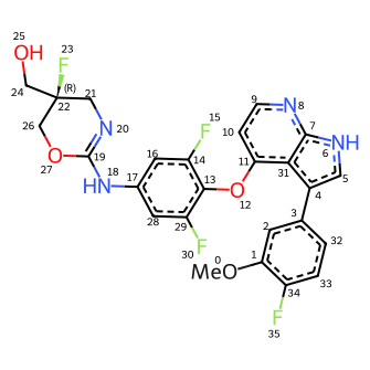 COc1cc(-c2c[nH]c3nccc(Oc4c(F)cc(NC5=NC[C@@](F)(CO)CO5)cc4F)c23)ccc1F